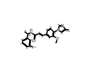 COc1cc(/C=C/C(=O)NC(C)c2cccc(F)c2)ccc1-n1cnc(C)c1